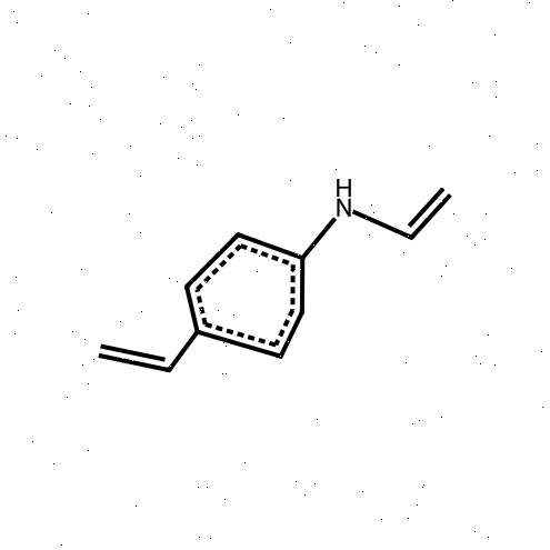 C=CNc1ccc(C=C)cc1